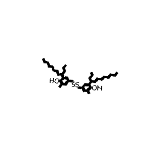 CCCCCCCCC(CCC)c1cc(CSSCc2cc(C)c(O)c(C(CCC)CCCCCCCC)c2)cc(C)c1O